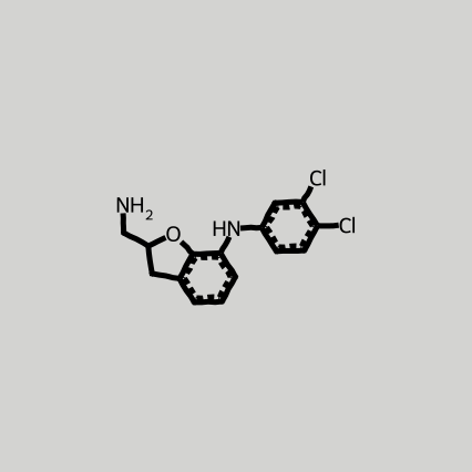 NCC1Cc2cccc(Nc3ccc(Cl)c(Cl)c3)c2O1